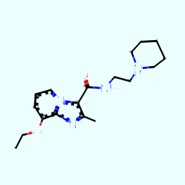 CCOc1cccn2c(C(=O)NCCN3CCCCC3)c(C)nc12